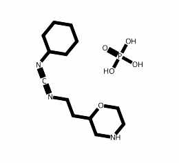 C(=NCCC1CNCCO1)=NC1CCCCC1.O=P(O)(O)O